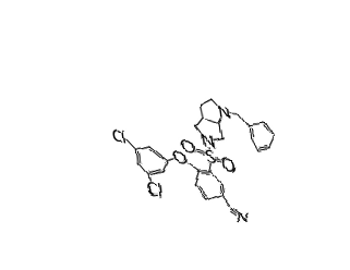 N#Cc1ccc(Oc2cc(Cl)cc(Cl)c2)c(S(=O)(=O)N2CC3CCN(Cc4ccccc4)C3C2)c1